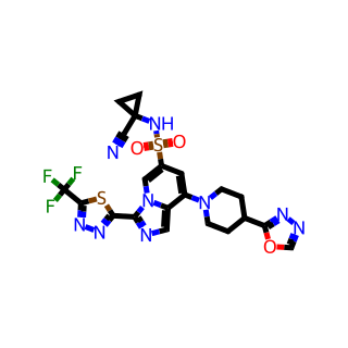 N#CC1(NS(=O)(=O)c2cc(N3CCC(c4nnco4)CC3)c3cnc(-c4nnc(C(F)(F)F)s4)n3c2)CC1